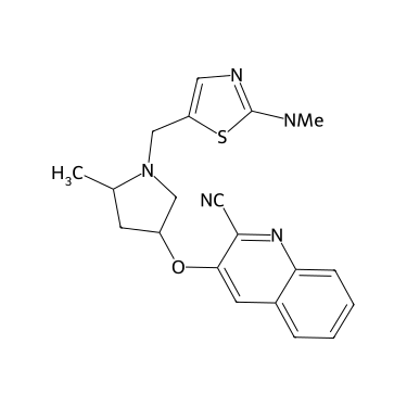 CNc1ncc(CN2CC(Oc3cc4ccccc4nc3C#N)CC2C)s1